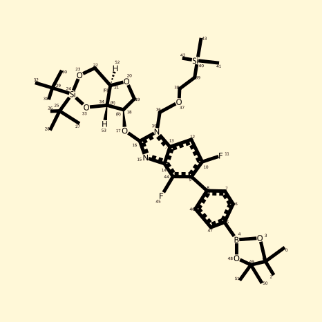 CC1(C)OB(c2ccc(-c3c(F)cc4c(nc(O[C@@H]5CO[C@@H]6CO[Si](C(C)(C)C)(C(C)(C)C)O[C@H]65)n4COCC[Si](C)(C)C)c3F)cc2)OC1(C)C